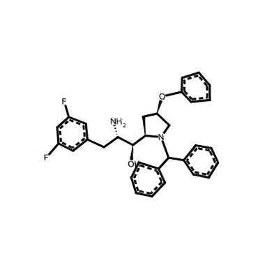 N[C@@H](Cc1cc(F)cc(F)c1)[C@H](O)[C@H]1C[C@@H](Oc2ccccc2)CN1C(c1ccccc1)c1ccccc1